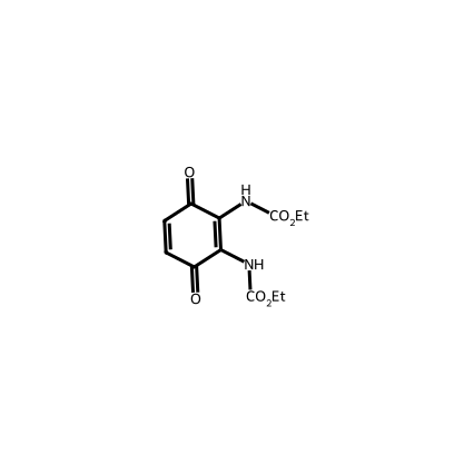 CCOC(=O)NC1=C(NC(=O)OCC)C(=O)C=CC1=O